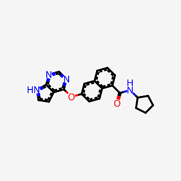 O=C(NC1CCCC1)c1cccc2cc(Oc3ncnc4[nH]ccc34)ccc12